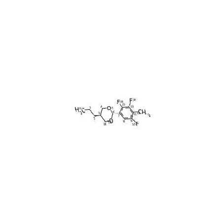 CCC[C@H]1CO[C@H](c2cc(F)c(C)c(F)c2F)OC1